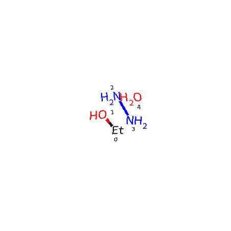 CCO.NN.O